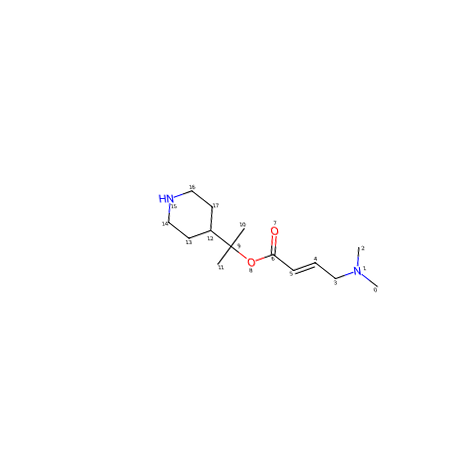 CN(C)C/C=C/C(=O)OC(C)(C)C1CCNCC1